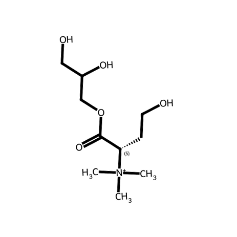 C[N+](C)(C)[C@@H](CCO)C(=O)OCC(O)CO